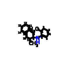 CC1CC=CC=C1NC1C=c2ccccc2=CC1C